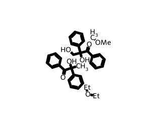 CC(O)(C(=O)c1ccccc1)c1ccccc1.CCOCC.COC.O=C(c1ccccc1)C(O)(CO)c1ccccc1